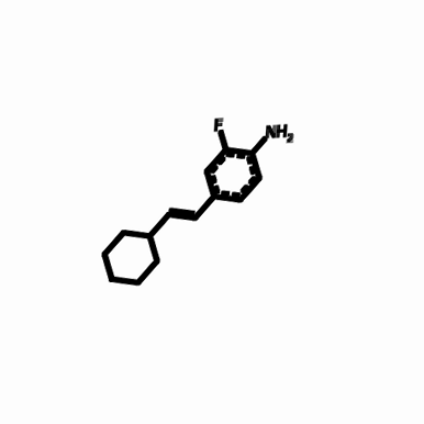 Nc1ccc(C=CC2CCCCC2)cc1F